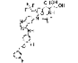 OCC(O)C(NCC(F)(F)F)C(O)C1CN(CC(F)(F)F)C(=Nc2ccc3ncnc(Nc4ccc(OCc5cccc(F)c5)c(Cl)c4)c3c2)O1